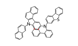 c1ccc(-c2ccccc2N(c2ccc3c(c2)sc2ccccc23)c2ccc3c(c2)c2c4ccccc4ccc2n3-c2ccc3ccccc3c2)cc1